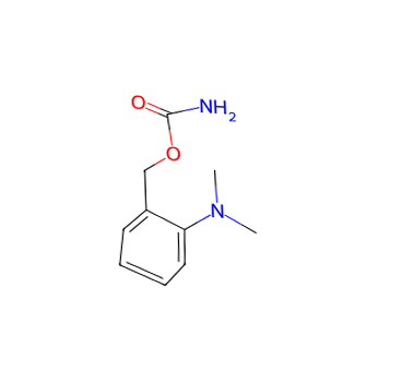 CN(C)c1ccccc1COC(N)=O